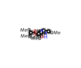 COC(=O)[C@H]1[C@H]2C[C@@H]3c4[nH]c5cc(OC)ccc5c4CCN3C[C@H]2C[C@@H](OC(=O)c2cc(OC)cc(OC)c2)[C@@H]1OC